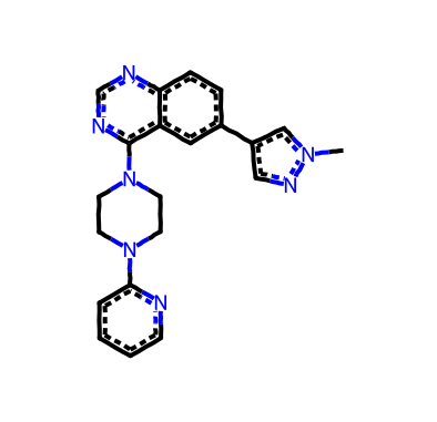 Cn1cc(-c2ccc3ncnc(N4CCN(c5ccccn5)CC4)c3c2)cn1